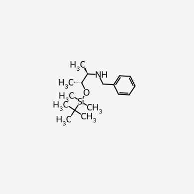 C[C@@H](NCc1ccccc1)[C@@H](C)O[Si](C)(C)C(C)(C)C